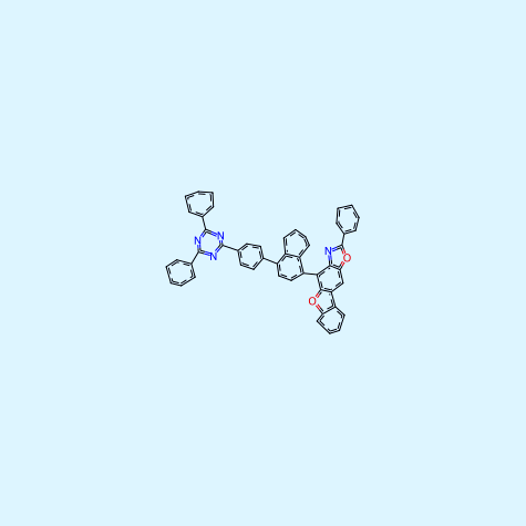 c1ccc(-c2nc(-c3ccccc3)nc(-c3ccc(-c4ccc(-c5c6nc(-c7ccccc7)oc6cc6c5oc5ccccc56)c5ccccc45)cc3)n2)cc1